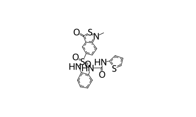 Cn1sc(=O)c2cc(S(=O)(=O)Nc3ccccc3NC(=O)Nc3cccs3)ccc21